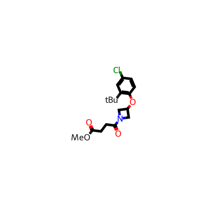 COC(=O)CCC(=O)N1CC(Oc2ccc(Cl)cc2C(C)(C)C)C1